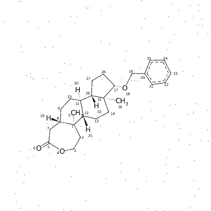 C[C@]12CCOC(=O)C[C@@H]1CC[C@@H]1[C@@H]2CC[C@]2(C)[C@@H](OCc3ccccc3)CC[C@@H]12